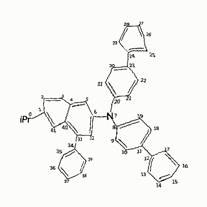 CC(C)c1ccc2cc(N(c3ccc(-c4ccccc4)cc3)c3ccc(-c4ccccc4)cc3)cc(-c3ccccc3)c2c1